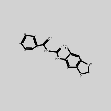 O=C(NC(=S)Nc1cc2c(cc1Cl)OCO2)c1ccccc1